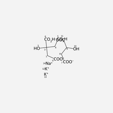 O=C([O-])CC(O)(CC(=O)O)C(=O)O.O=C([O-])CC(O)C(=O)[O-].[K+].[K+].[Na+]